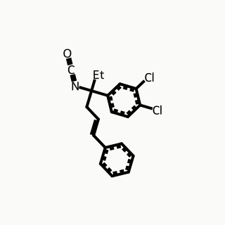 CCC(CC=Cc1ccccc1)(N=C=O)c1ccc(Cl)c(Cl)c1